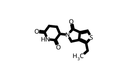 CCc1scc2c1CN(C1CCC(=O)NC1=O)C2=O